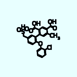 Cc1cc(-c2cc(C[SH](=O)=O)ccc2Oc2ccccc2Cl)c(C(=O)O)cc1C(=O)O